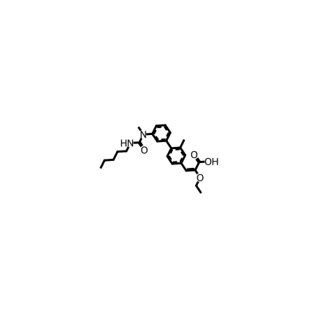 CCCCCNC(=O)N(C)c1cccc(-c2ccc(/C=C(/OCC)C(=O)O)cc2C)c1